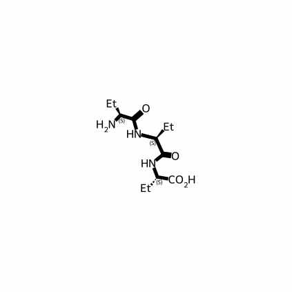 CC[C@H](NC(=O)[C@H](CC)NC(=O)[C@@H](N)CC)C(=O)O